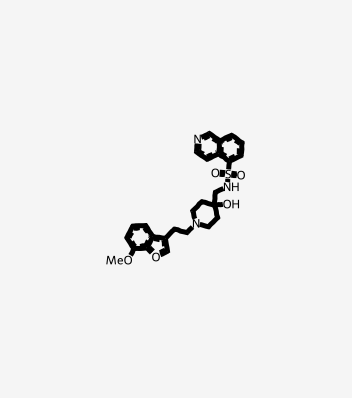 COc1cccc2c(CCN3CCC(O)(CNS(=O)(=O)c4cccc5cnccc45)CC3)coc12